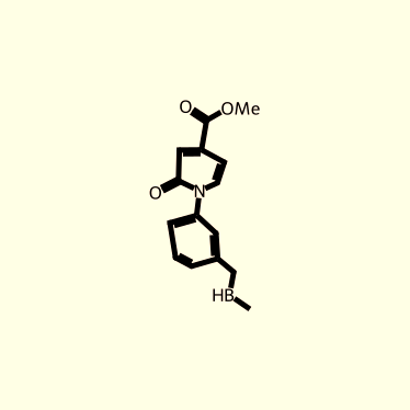 CBCc1cccc(-n2ccc(C(=O)OC)cc2=O)c1